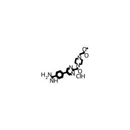 COC(=O)CN1CCN(C(=O)c2ncc(-c3ccc(C(=N)N)cc3)cn2)CC1.Cl